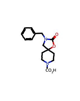 O=C(O)N1CCC2(CC1)CN(Cc1ccccc1)C(=O)O2